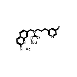 CC(=O)Nc1ccc2ccc(CN(CCCc3cncc(F)c3)C(=O)OC(C)(C)C)cc2n1